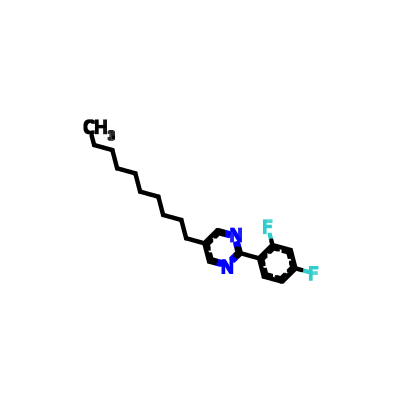 CCCCCCCCCCc1cnc(-c2ccc(F)cc2F)nc1